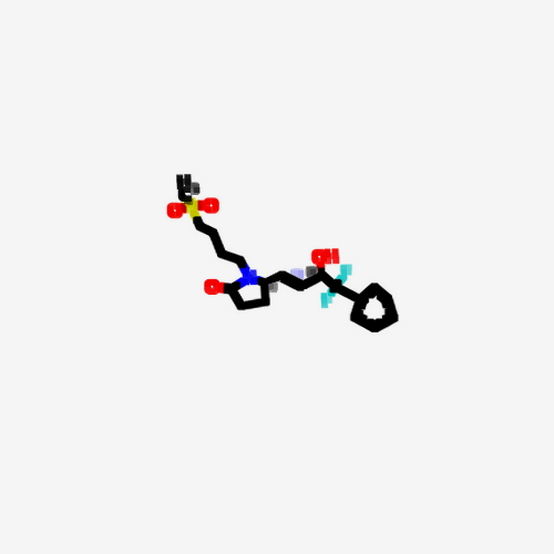 CS(=O)(=O)CCCCN1C(=O)CC[C@@H]1/C=C/[C@@H](O)C(F)(F)c1ccccc1